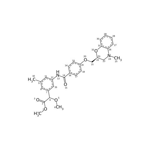 COC(=O)C(OC)c1cc(C)cc(NC(=O)c2ccc(OC[C@@H]3CN(C)c4ccccc4O3)cc2)c1